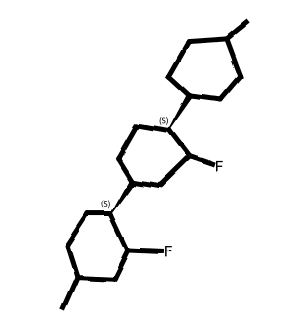 CC1CCC([C@@H]2CCC([C@@H]3CCC(C)CC3F)CC2F)CC1